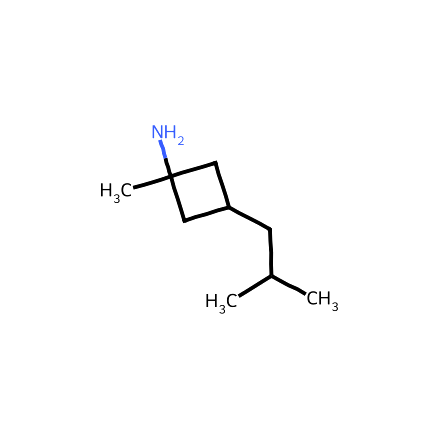 CC(C)CC1CC(C)(N)C1